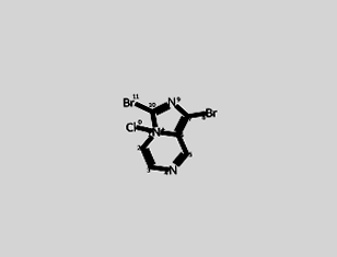 Cl[N+]12C=CN=CC1=C(Br)N=C2Br